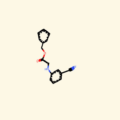 N#Cc1cccc(NCC(=O)OCc2ccccc2)c1